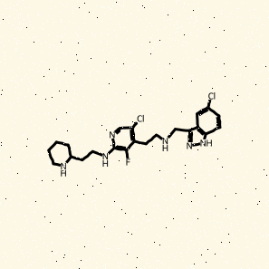 Fc1c(NCCC2CCCCN2)ncc(Cl)c1CCNCc1n[nH]c2ccc(Cl)cc12